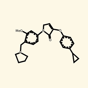 COc1cc(N2CC=C(Oc3ccc(C4CC4)cc3)C2=O)ccc1CN1CCCC1